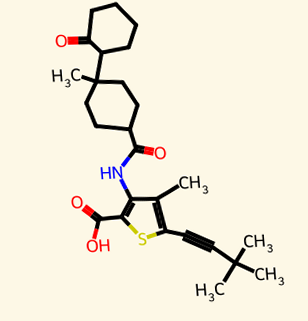 Cc1c(C#CC(C)(C)C)sc(C(=O)O)c1NC(=O)C1CCC(C)(C2CCCCC2=O)CC1